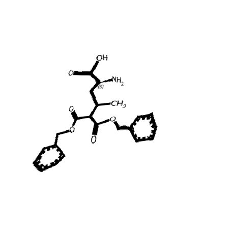 CC(C[C@H](N)C(=O)O)C(C(=O)OCc1ccccc1)C(=O)OCc1ccccc1